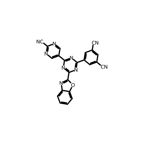 N#Cc1cc(C#N)cc(-c2nc(-c3cnc(C#N)nc3)nc(-c3nc4ccccc4o3)n2)c1